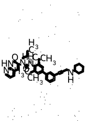 CCCCN(C(=O)Nc1c(C(C)C)cc(-c2cccc(C#CCNC3CCCCC3)c2)cc1C(C)C)c1cc2cccnc2[nH]c1=O